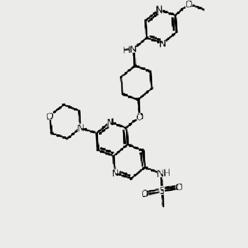 COc1cnc(NC2CCC(Oc3nc(N4CCOCC4)cc4ncc(NS(C)(=O)=O)cc34)CC2)cn1